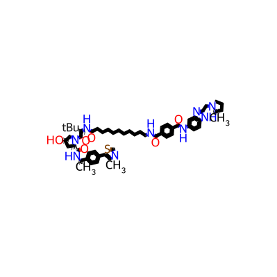 Cc1ncsc1-c1ccc([C@H](C)NC(=O)[C@@H]2C[C@@H](O)CN2C(=O)[C@@H](NC(=O)CCCCCCCCCCNC(=O)c2ccc(C(=O)Nc3ccc4[nH]c(CN5CCC[C@@H]5C)nc4c3)cc2)C(C)(C)C)cc1